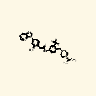 Cc1cc(-n2cnc3cccnc32)ccc1CC(=O)Nc1ccc(CN2CCN(C(C)C)CC2)c(C(F)(F)F)c1